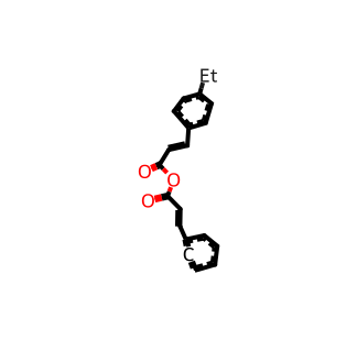 CCc1ccc(C=CC(=O)OC(=O)C=Cc2ccccc2)cc1